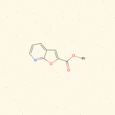 CC(C)OC(=O)c1cc2cccnc2o1